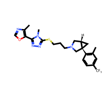 Cc1cc(C(F)(F)F)ccc1[C@]12C[C@H]1CN(CCCSc1nnc(-c3ocnc3C)n1C)C2